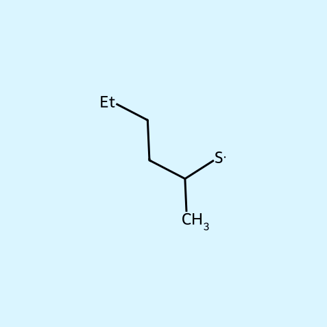 CCCCC(C)[S]